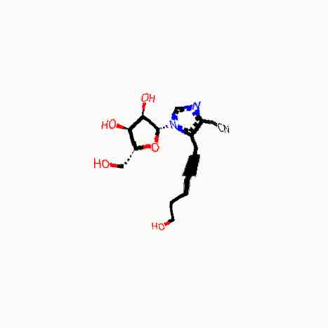 N#Cc1ncn([C@@H]2O[C@H](CO)[C@@H](O)[C@H]2O)c1C#CCCCO